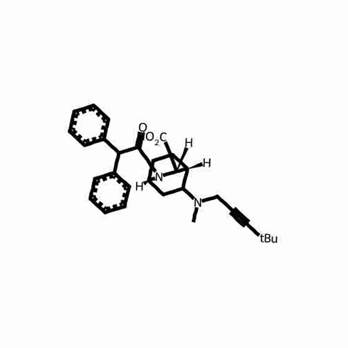 CN(CC#CC(C)(C)C)C1C[C@@H]2CC[C@H]1[C@@H](C(=O)O)N2C(=O)C(c1ccccc1)c1ccccc1